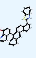 Oc1ccc(-c2c3ccccc3cc3c2ccc2c(-c4nc5ccccc5s4)cccc23)c2cccnc12